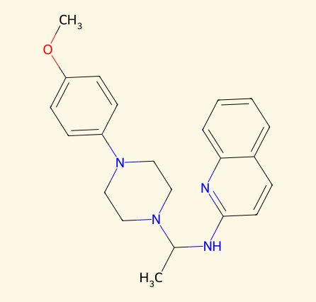 COc1ccc(N2CCN(C(C)Nc3ccc4ccccc4n3)CC2)cc1